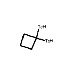 [TeH]C1([TeH])CCC1